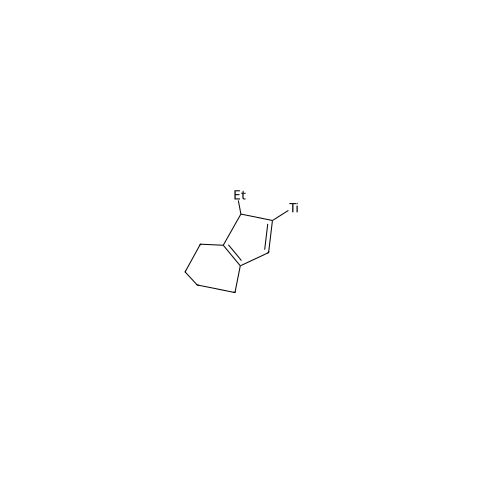 CCC1[C]([Ti])=CC2=C1CCCC2